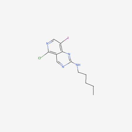 CCCCCNc1ncc2c(Cl)ncc(I)c2n1